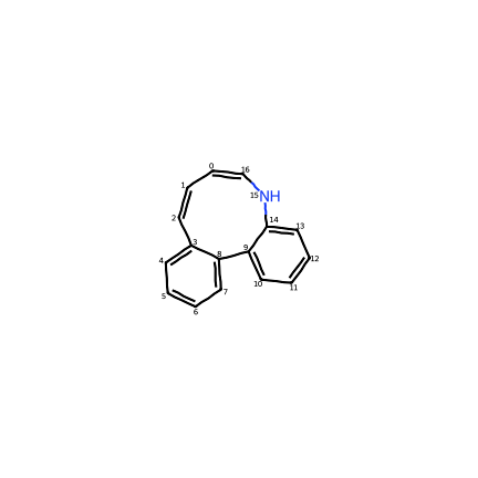 c1ccc2ccccc2c2ccccc2[nH]c1